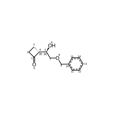 O=C1CC[C@@H]1[C@@H](O)COCc1ccccc1